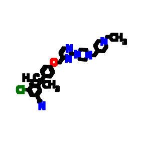 CCN1CCC(CN2CCN(c3nccc(COc4ccc(C(C)(C)c5cc(Cl)cc(C#N)c5)cc4)n3)CC2)CC1